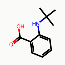 CC(C)(C)Nc1ccccc1C(=O)O